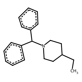 CCC1CCN(C(c2ccccc2)c2ccccc2)CC1